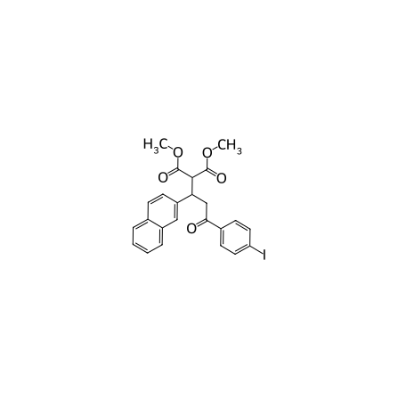 COC(=O)C(C(=O)OC)C(CC(=O)c1ccc(I)cc1)c1ccc2ccccc2c1